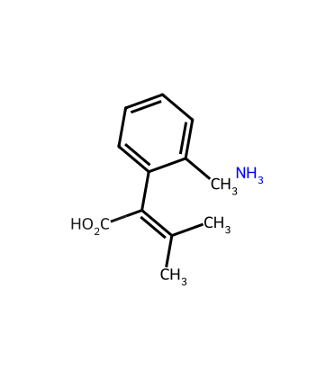 CC(C)=C(C(=O)O)c1ccccc1C.N